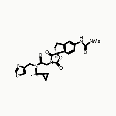 CNC(=O)Nc1ccc2c(c1)CC[C@@]21OC(=O)N(CC(=O)N(Cc2cocn2)[C@@H](C)C2CC2)C1=O